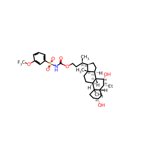 CC[C@H]1[C@@H](O)[C@@H]2[C@H](CC[C@]3(C)[C@@H]([C@H](C)CCOC(=O)NS(=O)(=O)c4cccc(OC(F)(F)F)c4)CC[C@@H]23)[C@@]2(C)CC[C@@H](O)C[C@@H]12